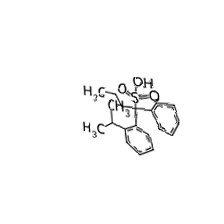 CCCC(c1ccccc1)(c1ccccc1C(C)C)S(=O)(=O)O